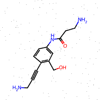 NCC#Cc1ccc(NC(=O)CCN)cc1CO